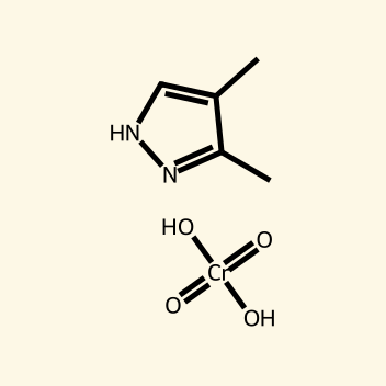 Cc1c[nH]nc1C.[O]=[Cr](=[O])([OH])[OH]